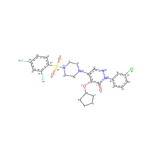 O=c1c(OC2CCCC2)c(N2CCN(S(=O)(=O)c3ccc(F)cc3F)CC2)cnn1-c1cccc(Cl)c1